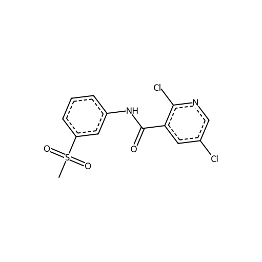 CS(=O)(=O)c1cccc(NC(=O)c2cc(Cl)cnc2Cl)c1